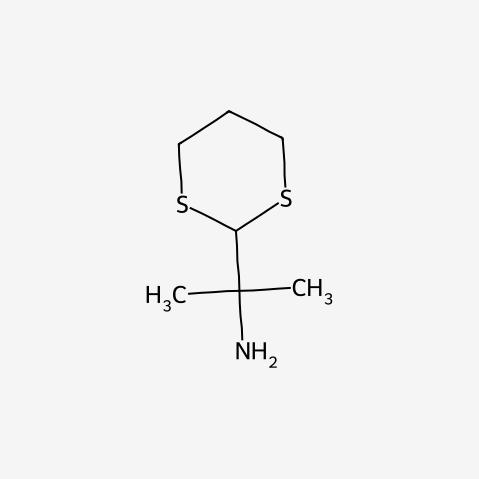 CC(C)(N)C1SCCCS1